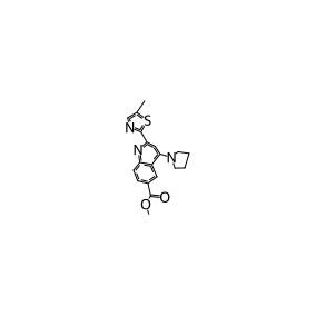 COC(=O)c1ccc2nc(-c3ncc(C)s3)cc(N3CCCC3)c2c1